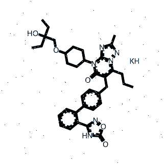 CCCc1c(Cc2ccc(-c3ccccc3-c3noc(=O)[nH]3)cc2)c(=O)n(C2CCC(OCC(O)(CC)CC)CC2)c2nc(C)nn12.[KH]